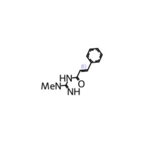 CNC(=N)NC(=O)/C=C/c1ccccc1